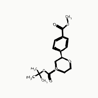 COC(=O)c1ccc([C@@H]2CN(C(=O)OC(C)(C)C)CCO2)cc1